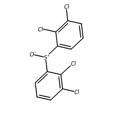 [O-][S+](c1cccc(Cl)c1Cl)c1cccc(Cl)c1Cl